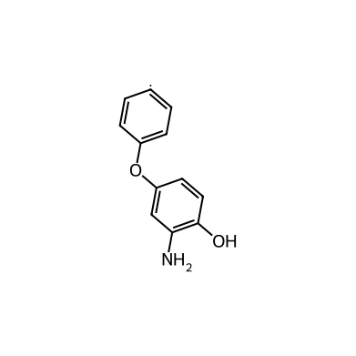 Nc1cc(Oc2cc[c]cc2)ccc1O